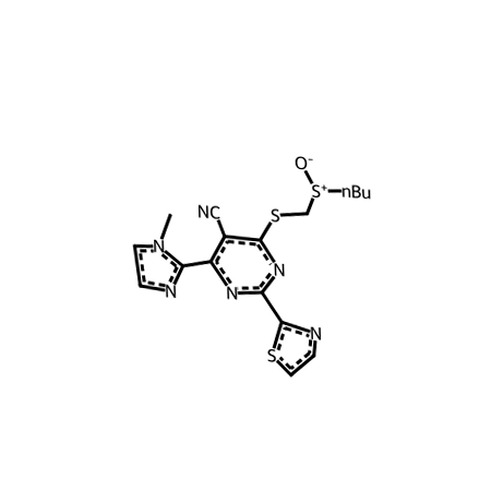 CCCC[S+]([O-])CSc1nc(-c2nccs2)nc(-c2nccn2C)c1C#N